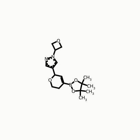 CC1(C)OB(C2=CC(c3cnn(C4COC4)c3)OCC2)OC1(C)C